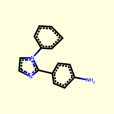 Nc1ccc(-c2nccn2-c2ccccc2)cc1